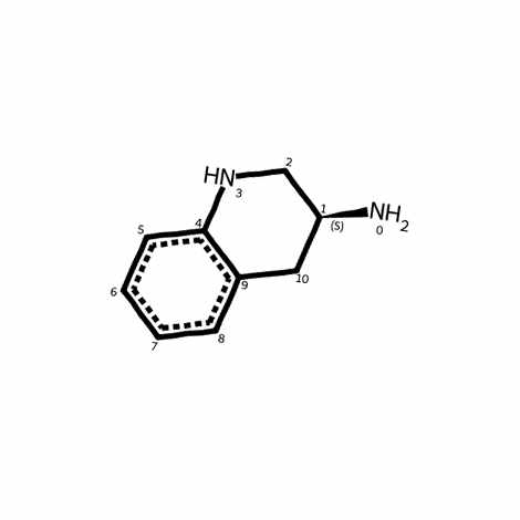 N[C@@H]1CNc2ccccc2C1